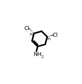 NC1=C[C@H](Cl)C[C@H](Cl)C1